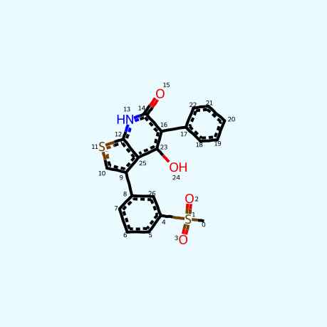 CS(=O)(=O)c1cccc(-c2csc3[nH]c(=O)c(-c4ccccc4)c(O)c23)c1